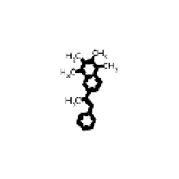 CC(=Cc1ccccc1)c1ccc2c(C)c(C)c(C)c(C)c2c1